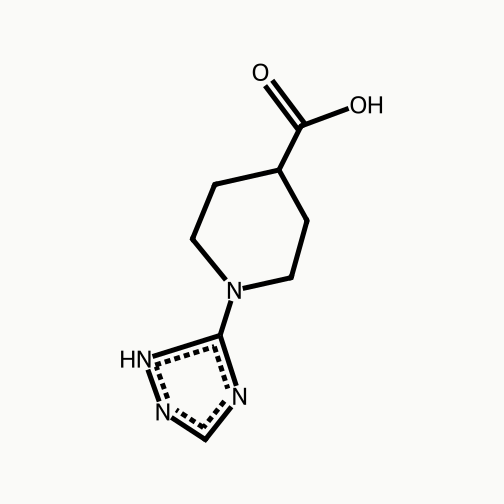 O=C(O)C1CCN(c2ncn[nH]2)CC1